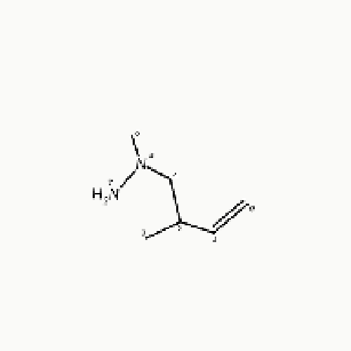 C=CC(C)CN(C)N